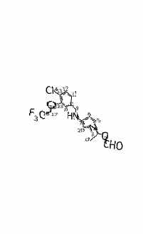 CC(OC=O)n1ccc(NCc2ccc(Cl)c(OCC(F)(F)F)c2)c1